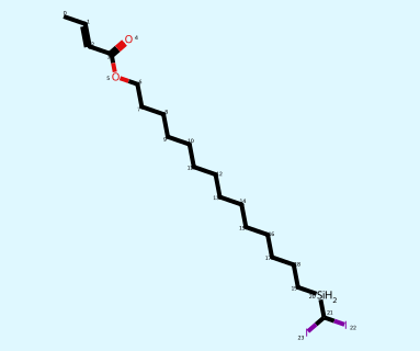 CC=CC(=O)OCCCCCCCCCCCCCC[SiH2]C(I)I